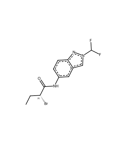 CC[C@@H](Br)C(=O)Nc1ccc2nn(C(F)F)cc2c1